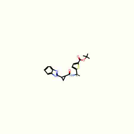 C[C@@H](NC(=O)C1CC1c1nc2ccccc2[nH]1)c1ccc(C(=O)OC(C)(C)C)s1